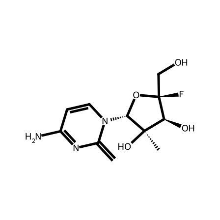 C=C1N=C(N)C=CN1[C@@H]1O[C@](F)(CO)[C@@H](O)[C@@]1(C)O